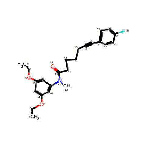 CCOc1cc(OCC)cc(N(C)C(=O)CCCCC#Cc2ccc(F)cc2)c1